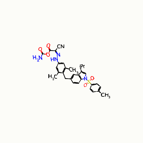 Cc1ccc(S(=O)(=O)n2cc(C(C)C)c3cc(Cc4c(C)cc(NN=C(C#N)C(=O)OC(N)=O)cc4C)ccc32)cc1